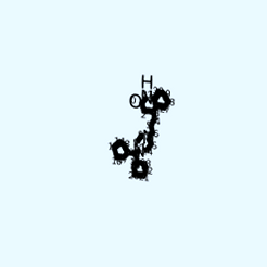 O=c1cc(CCCN2CCN(C(c3ccccc3)c3ccccc3)CC2)c2ccccc2[nH]1